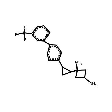 NC1CC(N)(C2CC2c2ccc(-c3cccc(C(F)(F)F)c3)cc2)C1